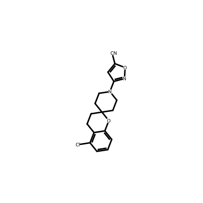 N#Cc1cc(N2CCC3(CCc4c(Cl)cccc4O3)CC2)no1